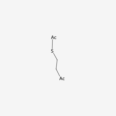 CC(=O)CCSC(C)=O